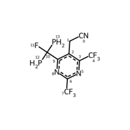 N#CCc1c(C(F)(F)F)nc(C(F)(F)F)nc1C(F)(P)P